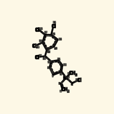 C=C[Si](C)(CCl)c1ccc(C(Cl)c2ccc(Cl)c(Cl)c2Cl)cc1